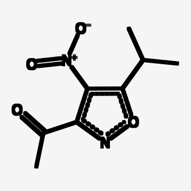 CC(=O)c1noc(C(C)C)c1[N+](=O)[O-]